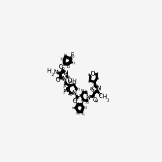 Cc1nc(C2CCOCC2)sc1C(=O)N1CC[C@@H](C(=O)N2CC[C@](O)(Cn3cnc(Oc4ccc(F)cc4)c(N)c3=O)C(F)(F)C2)[C@H](c2ccccc2)C1